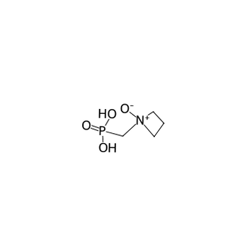 O=P(O)(O)C[N+]1([O-])CCC1